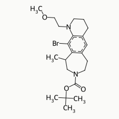 COCCN1CCCc2cc3c(c(Br)c21)C(C)CN(C(=O)OC(C)(C)C)CC3